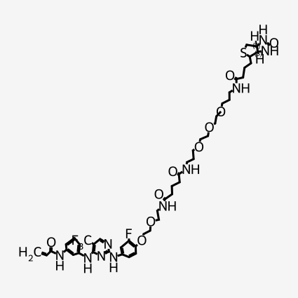 C=CC(=O)Nc1cccc(Nc2nc(Nc3ccc(OCCOCCNC(=O)CCCC(=O)NCCCOCCOCCOCCCNC(=O)CCCC4SC[C@@H]5NC(=O)N[C@H]45)c(F)c3)ncc2C(F)(F)F)c1